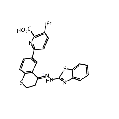 CC(C)c1ccc(-c2ccc3c(c2)/C(=N/Nc2nc4ccccc4s2)CCS3)nc1C(=O)O